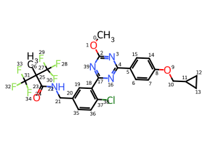 COc1nc(-c2ccc(OCC3CC3)cc2)nc(-c2cc(CNC(=O)C(C)(C(F)(F)F)C(F)(F)F)ccc2Cl)n1